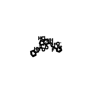 Cl.O=C(NCc1ccccc1)[C@@H]1CCc2cnc(NCC(F)(F)c3cccc[n+]3[O-])c(=O)n21